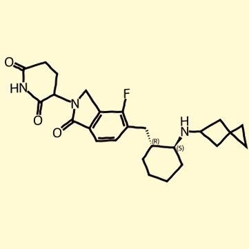 O=C1CCC(N2Cc3c(ccc(C[C@H]4CCCC[C@@H]4NC4CC5(CC5)C4)c3F)C2=O)C(=O)N1